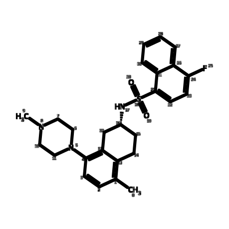 Cc1ccc(N2CCN(C)CC2)c2c1CC[C@@H](NS(=O)(=O)c1ccc(F)c3ccccc13)C2